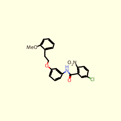 COc1ccccc1CCOc1cccc(NC(=O)c2cc(Cl)ccc2[N+](=O)[O-])c1